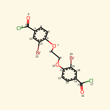 O=C(Cl)c1ccc(OCCOc2ccc(C(=O)Cl)cc2Br)c(Br)c1